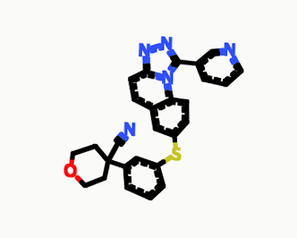 N#CC1(c2cccc(Sc3ccc4c(ccc5nnc(-c6cccnc6)n54)c3)c2)CCOCC1